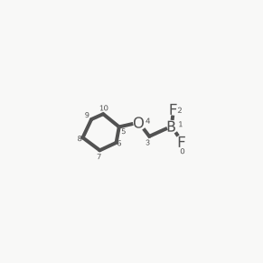 FB(F)COC1CCCCC1